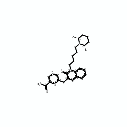 C[C@@H]1CCC[C@H](C)N1CCCCCn1c(=O)c(Cc2cncc(C(N)=O)n2)cc2ccccc21